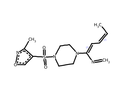 C=N/C(=C\C=C/C)N1CCN(S(=O)(=O)c2conc2C)CC1